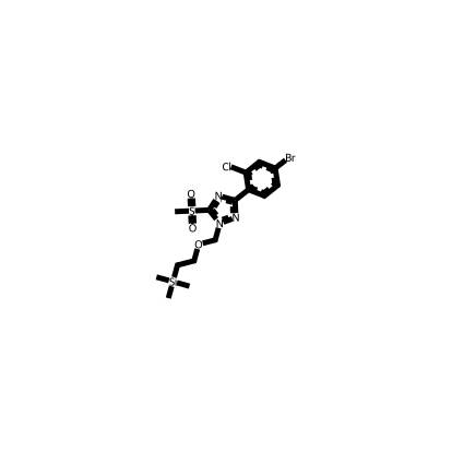 C[Si](C)(C)CCOCn1nc(-c2ccc(Br)cc2Cl)nc1S(C)(=O)=O